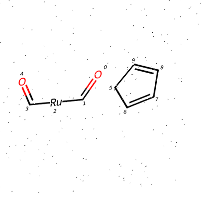 O=[CH][Ru][CH]=O.[CH]1C=CC=C1